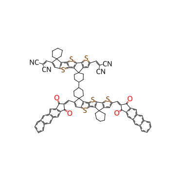 N#CC(C#N)=CC1=Cc2sc3c4c(sc3c2C12CCCCC2)-c1sc(C=C(C#N)C#N)cc1C41CCC(C2CCC3(CC2)C(C=C2C(=O)c4cc5cc6ccccc6cc5cc4C2=O)=Cc2sc4c5c(sc4c23)-c2sc(C=C3C(=O)c4cc6cc7ccccc7cc6cc4C3=O)cc2C52CCCCC2)CC1